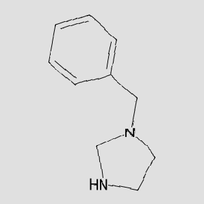 c1ccc(CN2CCNC2)cc1